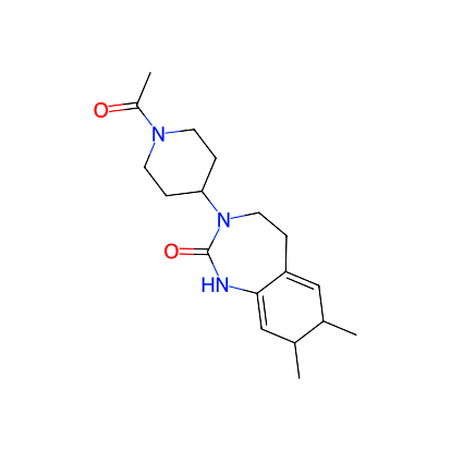 CC(=O)N1CCC(N2CCC3=CC(C)C(C)C=C3NC2=O)CC1